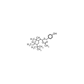 CCCC(CC(CC(OC(C)=O)SCc1ccc(O)cc1)C(C)(C)C)C(C)(C)C